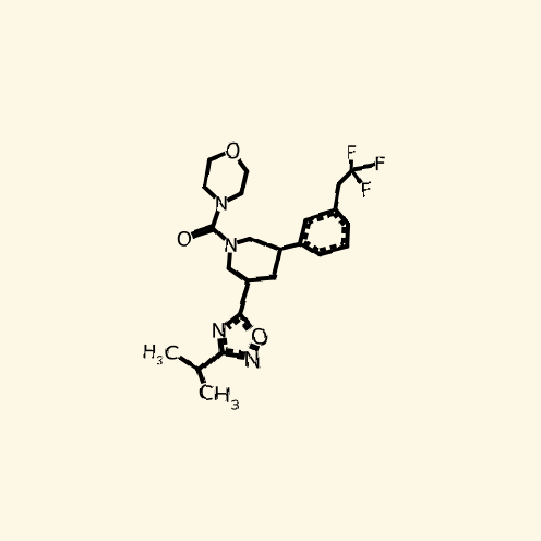 CC(C)c1noc(C2CC(c3cccc(CC(F)(F)F)c3)CN(C(=O)N3CCOCC3)C2)n1